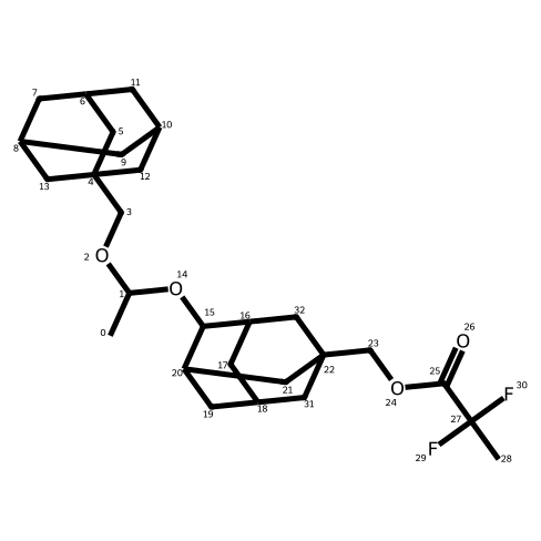 CC(OCC12CC3CC(CC(C3)C1)C2)OC1C2CC3CC1CC(COC(=O)C(C)(F)F)(C3)C2